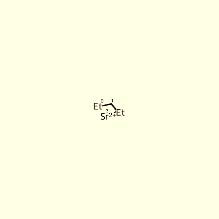 [CH2-]CCC[CH2-].[Sr+2]